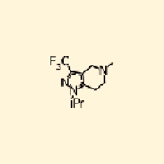 CC(C)n1nc(C(F)(F)F)c2c1CCN(C)C2